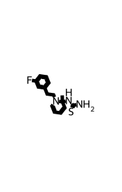 CC1(NC(N)=S)C=CC=CN1CCc1cccc(F)c1